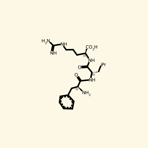 CC(C)C[C@H](NC(=O)[C@@H](N)Cc1ccccc1)C(=O)N[C@@H](CCCNC(=N)N)C(=O)O